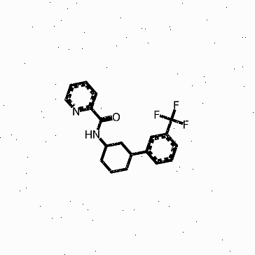 O=C(NC1CCCC(c2cccc(C(F)(F)F)c2)C1)c1ccccn1